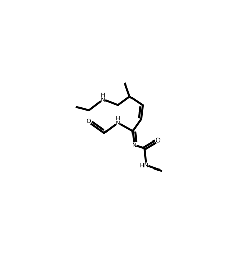 CCNCC(C)/C=C\C(=N/C(=O)NC)NC=O